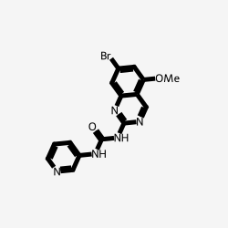 COc1cc(Br)cc2nc(NC(=O)Nc3cccnc3)ncc12